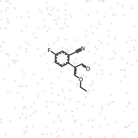 CCOC=C(C=O)c1c[c]c(F)cc1C#N